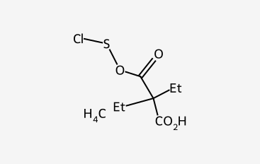 C.CCC(CC)(C(=O)O)C(=O)OSCl